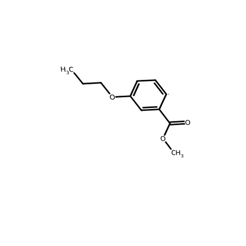 CCCOc1cc[c]c(C(=O)OC)c1